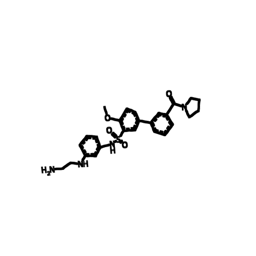 COc1ccc(-c2cccc(C(=O)N3CCCC3)c2)cc1S(=O)(=O)Nc1cccc(NCCN)c1